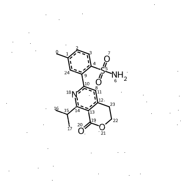 Cc1ccc(S(N)(=O)=O)c(-c2cc3c(c(C(C)C)n2)C(=O)OCC3)c1